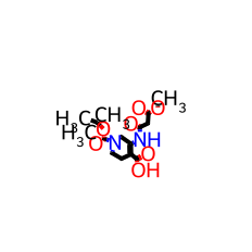 COC(=O)CC(=O)NC1=C(C(=O)O)CCN(C(=O)OC(C)(C)C)C1